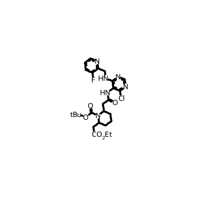 CCOC(=O)CC1CCCC(CC(=O)Nc2c(Cl)ncnc2NCc2ncccc2F)N1C(=O)OC(C)(C)C